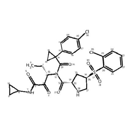 CC[C@@H](C(=O)C(=O)NC1CC1)N(C(=O)[C@@H]1C[C@@H](S(=O)(=O)c2ccccc2Cl)CN1)C(=O)C1(c2ccc(Cl)cc2)CC1